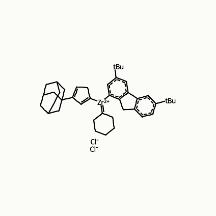 CC(C)(C)c1ccc2c(c1)-c1cc(C(C)(C)C)c[c]([Zr+2]([C]3=CC(C45CC6CC(CC(C6)C4)C5)=CC3)=[C]3CCCCC3)c1C2.[Cl-].[Cl-]